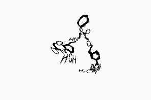 Cn1nnc(-c2cccc(CCOCCC(=O)N(CCNCCc3ccc(O)c4c3OCC(=O)N4)C3CCCCC3)c2)n1